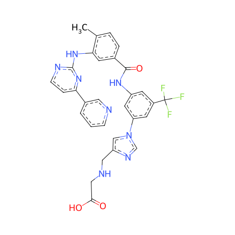 Cc1ccc(C(=O)Nc2cc(-n3cnc(CNCC(=O)O)c3)cc(C(F)(F)F)c2)cc1Nc1nccc(-c2cccnc2)n1